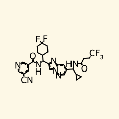 N#Cc1cncc(C(=O)N[C@H](c2cn3ncc(C(NC(=O)CCC(F)(F)F)C4CC4)cc3n2)C2CCC(F)(F)CC2)c1